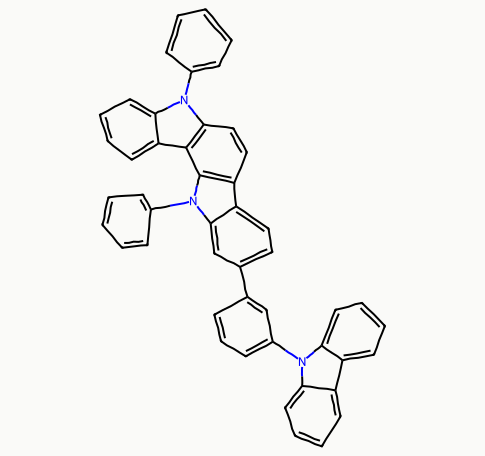 c1ccc(-n2c3ccccc3c3c2ccc2c4ccc(-c5cccc(-n6c7ccccc7c7ccccc76)c5)cc4n(-c4ccccc4)c23)cc1